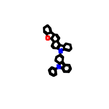 C1=CC2C(C=CC3C4=CCCC=C4OC32)C2=C1N(C1=Cc3c(n(-c4ccccc4)c4ccccc34)CC1)C1=CCCCC12